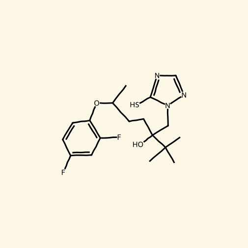 CC(CCC(O)(Cn1ncnc1S)C(C)(C)C)Oc1ccc(F)cc1F